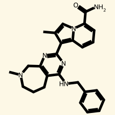 Cc1cn2c(C(N)=O)cccc2c1-c1nc2c(c(NCc3ccccc3)n1)CCCN(C)C2